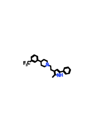 Cc1[nH]c(-c2ccccc2)cc1CCN1CCC(c2cccc(C(F)(F)F)c2)CC1